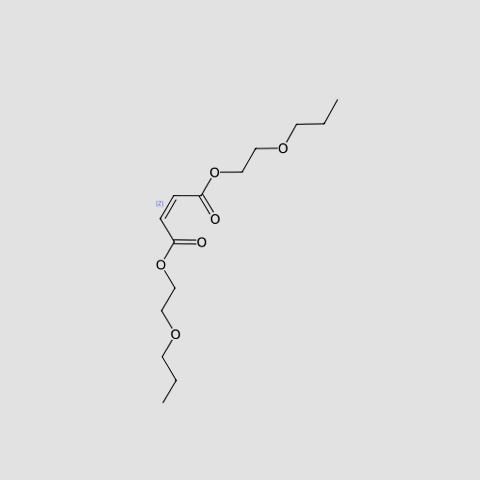 CCCOCCOC(=O)/C=C\C(=O)OCCOCCC